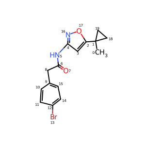 CC1(c2cc(NC(=O)Cc3ccc(Br)cc3)no2)CC1